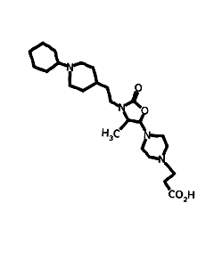 CC1C(N2CCN(CCC(=O)O)CC2)OC(=O)N1CCC1CCN(C2CCCCC2)CC1